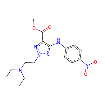 CCN(CC)CCn1nc(Nc2ccc([N+](=O)[O-])cc2)c(C(=O)OC)n1